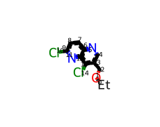 CCOCc1cnc2ccc(Cl)nc2c1Cl